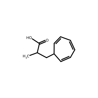 CC(CC1C=CC=CC=C1)C(=O)O